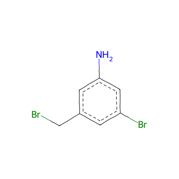 Nc1cc(Br)cc(CBr)c1